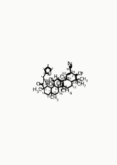 CC1(C(=O)NCc2ccco2)CCC2(C)CCC3(C)C4(C)CCC5C(C)(C)C(=O)C(C#N)=CC5(C)C4=CC(=O)C3(O)C2C1